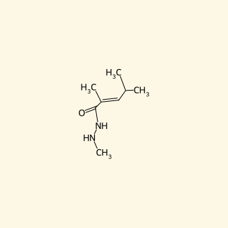 CNNC(=O)C(C)=CC(C)C